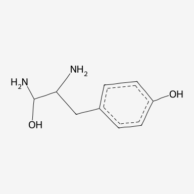 NC(O)C(N)Cc1ccc(O)cc1